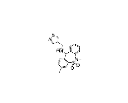 Cc1ccc2c(c1)S(=O)(=O)N(C)c1ccccc1C2NCc1cnsc1